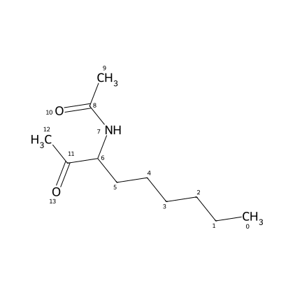 CCCCCCC(NC(C)=O)C(C)=O